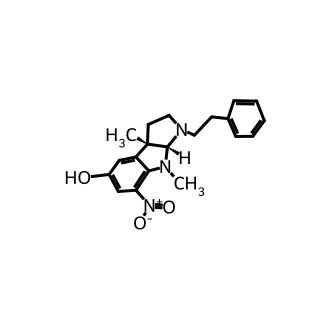 CN1c2c([N+](=O)[O-])cc(O)cc2[C@]2(C)CCN(CCc3ccccc3)[C@H]12